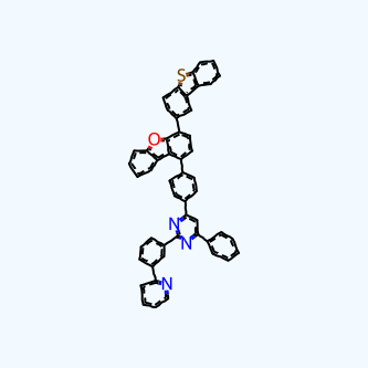 c1ccc(-c2cc(-c3ccc(-c4ccc(-c5ccc6sc7ccccc7c6c5)c5oc6ccccc6c45)cc3)nc(-c3cccc(-c4ccccn4)c3)n2)cc1